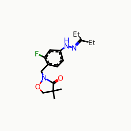 CCC(CC)=NNc1ccc(CN2OCC(C)(C)C2=O)c(F)c1